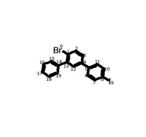 Brc1ccc(-c2ccc(I)cc2)cc1-c1ccccc1